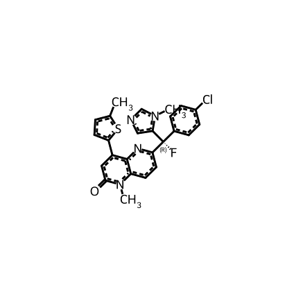 Cc1ccc(-c2cc(=O)n(C)c3ccc([C@](F)(c4ccc(Cl)cc4)c4cncn4C)nc23)s1